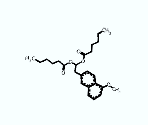 CCCCCC(=O)OC(Cc1ccc2c(OC)cccc2c1)OC(=O)CCCCC